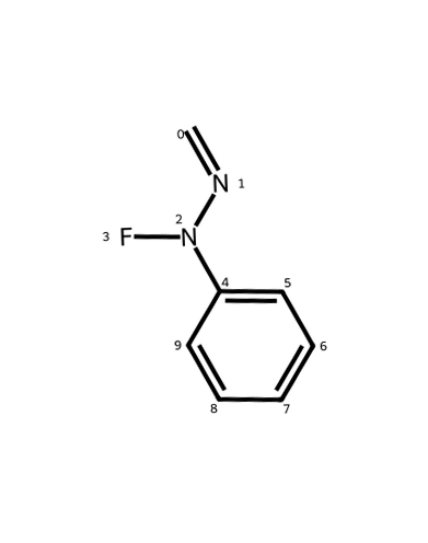 C=NN(F)c1ccccc1